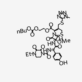 CCCCOC(=O)OCCOC(=O)C1=C(CSc2nnnn2C)CS[C@@H]2N1C(=O)[C@]2(NC(=O)[C@@H](NC(=O)N1CCN(CC)C(=O)C1=O)c1ccc(O)cc1)OC